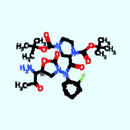 CC(=O)C(N)[C@@H]1CN(N(C(=O)C2CN(C(=O)OC(C)(C)C)CCN2C(=O)OC(C)(C)C)c2ccccc2F)C(=O)O1